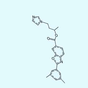 Cc1cc(C)cc(-c2nc3ccc(C(=O)OC(C)CCn4ccnc4)cc3o2)c1